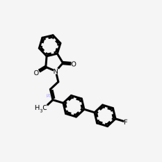 C/C(=C/CN1C(=O)c2ccccc2C1=O)c1ccc(-c2ccc(F)cc2)cc1